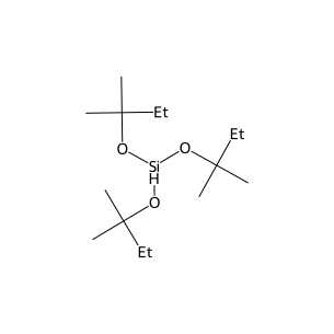 CCC(C)(C)O[SiH](OC(C)(C)CC)OC(C)(C)CC